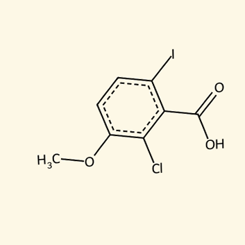 COc1ccc(I)c(C(=O)O)c1Cl